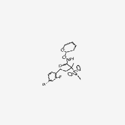 CC(CCc1ccc(Br)cc1F)(C(=O)NOC1CCCCO1)S(C)(=O)=O